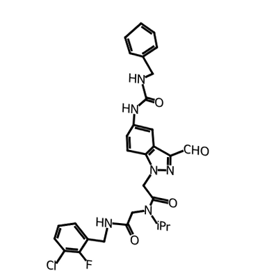 CC(C)N(CC(=O)NCc1cccc(Cl)c1F)C(=O)Cn1nc(C=O)c2cc(NC(=O)NCc3ccccc3)ccc21